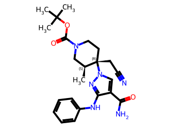 C[C@H]1CN(C(=O)OC(C)(C)C)CC[C@]1(CC#N)n1cc(C(N)=O)c(Nc2ccccc2)n1